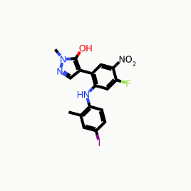 Cc1cc(I)ccc1Nc1cc(F)c([N+](=O)[O-])cc1-c1cnn(C)c1O